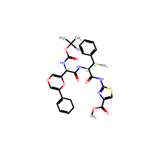 COC(=O)c1csc(NC(=O)[C@@H](NC(=O)[C@H](NC(=O)OC(C)(C)C)C2=COC=C(C3=CC=CCC3)O2)[C@@H](C)c2ccccc2)n1